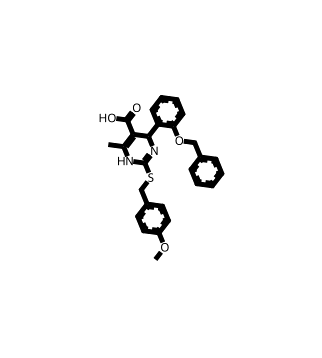 COc1ccc(CSC2=NC(c3ccccc3OCc3ccccc3)C(C(=O)O)=C(C)N2)cc1